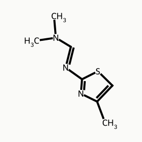 Cc1csc(N=CN(C)C)n1